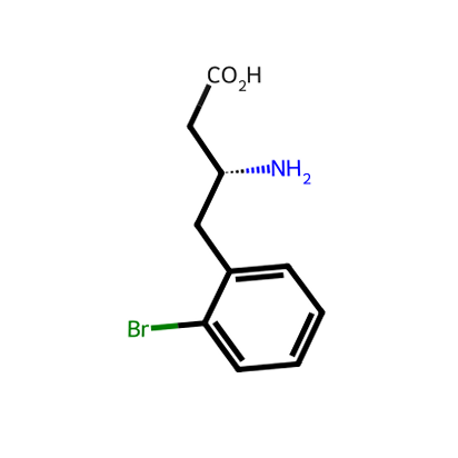 N[C@@H](CC(=O)O)Cc1ccccc1Br